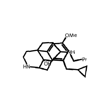 COc1cc(CC2CC2)c2c(c1)C13CCNC(C2)C1(O)CC(NCC(C)C)CC3